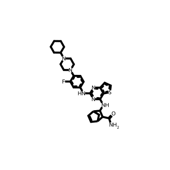 NC(=O)C1C2C=CC(C2)C1Nc1nc(Nc2ccc(N3CCN(C4CCCCC4)CC3)c(F)c2)nc2ccsc12